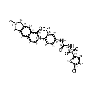 CN1Cc2cc3ccn(-c4ccc(NC(=O)NS(=O)(=O)c5ccc(Cl)s5)cc4Cl)c(=O)c3cc2C1